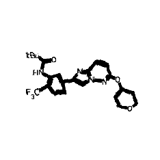 CC(C)(C)C(=O)Nc1cc(-c2cn3nc(OC4CCOCC4)ccc3n2)ccc1C(F)(F)F